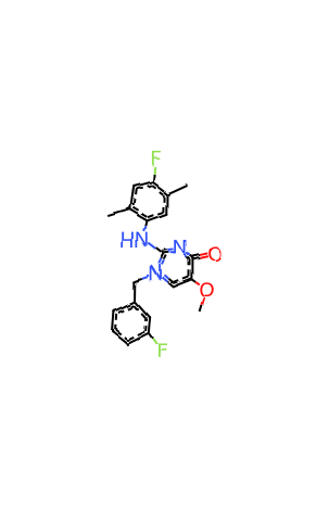 COc1cn(Cc2cccc(F)c2)c(Nc2cc(C)c(F)cc2C)nc1=O